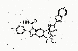 CNC(=O)c1c(-c2ccc(C)cc2)oc2cc(N(C)S(C)(=O)=O)c(-c3csc(-c4cc5ccccc5[nH]4)n3)cc12